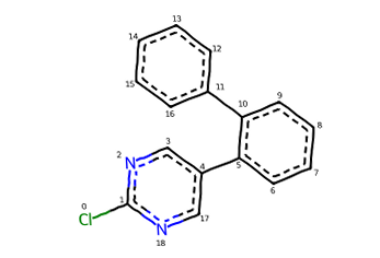 Clc1ncc(-c2ccccc2-c2ccccc2)cn1